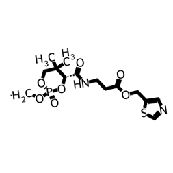 [CH2]OP1(=O)OCC(C)(C)[C@H](C(=O)NCCC(=O)OCc2cncs2)O1